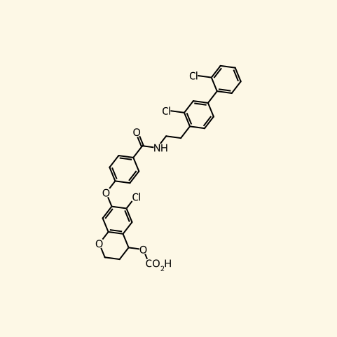 O=C(O)OC1CCOc2cc(Oc3ccc(C(=O)NCCc4ccc(-c5ccccc5Cl)cc4Cl)cc3)c(Cl)cc21